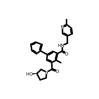 Cc1ccc(CNC(=O)c2cc(-c3ccccc3)cc(C(=O)N3CC[C@@H](O)C3)c2C)cn1